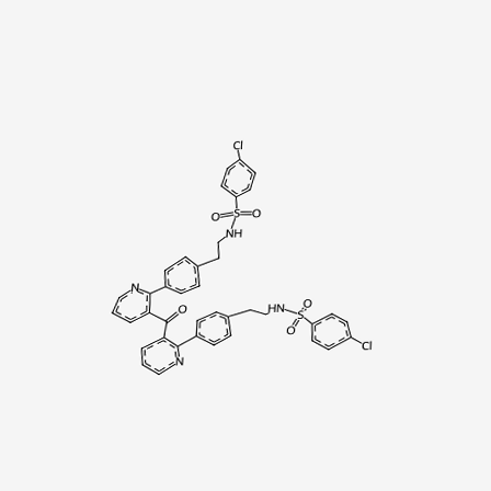 O=C(c1cccnc1-c1ccc(CCNS(=O)(=O)c2ccc(Cl)cc2)cc1)c1cccnc1-c1ccc(CCNS(=O)(=O)c2ccc(Cl)cc2)cc1